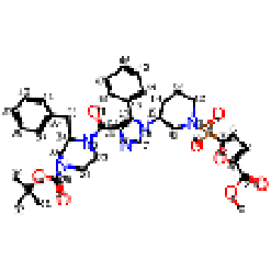 COC(=O)c1ccc(S(=O)(=O)N2CCCC(n3cnc(C(=O)N4CCN(C(=O)OC(C)(C)C)C[C@H]4Cc4ccccc4)c3-c3ccccc3)C2)o1